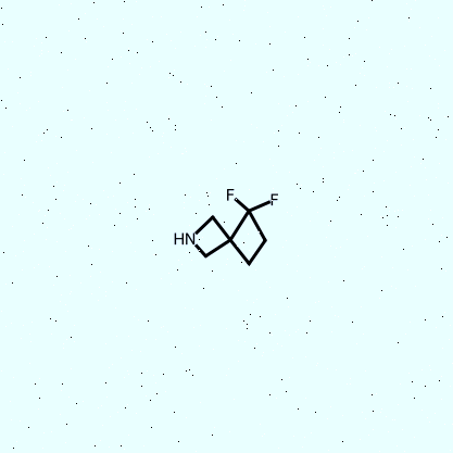 FC1(F)CCC12CNC2